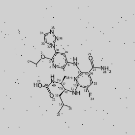 CCOc1ncc(Nc2nc(N[C@@H](CC(C)C)[C@H](C)NC(=O)O)c(F)cc2C(N)=O)cc1-n1ccnn1